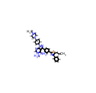 CCCc1sc(-c2ccc(-c3nn(C4CCC(N5CCN(C)CC5)CC4)c4ncnc(N)c34)cc2)nc1-c1ccccc1.N